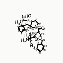 CN(C=O)C[C@@H](c1ccccc1)[C@]1(C)CCCN(C(=O)[C@@H](COCc2ccccc2)NC(=O)C(C)(C)N)C1